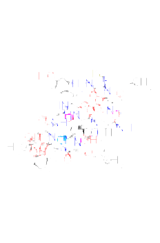 C=CCOCC(NC(=O)C(CC(N)=O)NC(=O)C(CC(=O)O)NC(=O)C(Cc1ccc(O)cc1)NC(=O)CNC(=O)C(CCC(C)(O)O)NC(=O)C(Cc1ccccc1)NC(=O)C(COCC=C)N(O)C(=C)Cl)C(=O)NC(CS)C(N)=O